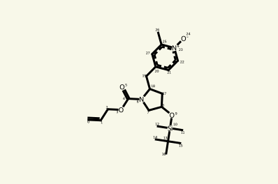 C=CCOC(=O)N1CC(O[Si](C)(C)C(C)(C)C)CC1Cc1cc[n+]([O-])c(C)c1